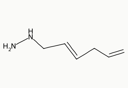 C=CCC=CCNN